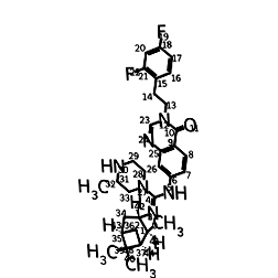 C[C@@H]1[C@@H](/N=C(/Nc2ccc3c(=O)n(CCc4ccc(F)cc4F)cnc3c2)N2CCN[C@@H](C)C2)C[C@H]2C[C@@H]1C2(C)C